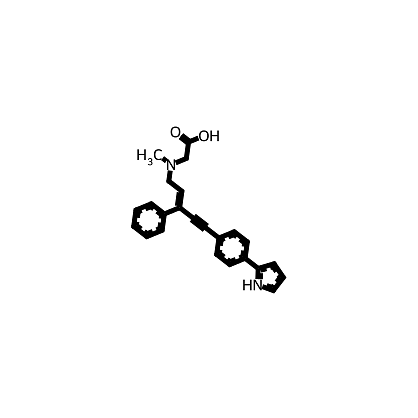 CN(CC=C(C#Cc1ccc(-c2ccc[nH]2)cc1)c1ccccc1)CC(=O)O